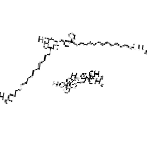 CCCCCCCCCCCCCCC(=O)OC[C@H](CO)OC(=O)CCCCCCCCCCCCCC.C[N+](C)(C)CCOP(=O)([O-])O